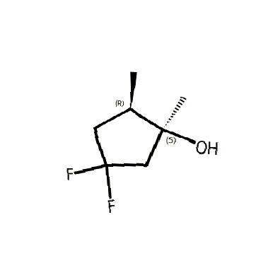 C[C@@H]1CC(F)(F)C[C@]1(C)O